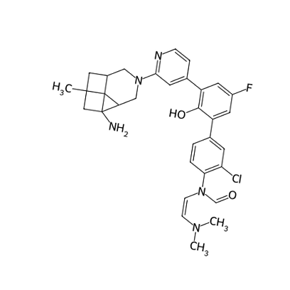 CN(C)/C=C\N(C=O)c1ccc(-c2cc(F)cc(-c3ccnc(N4CC5CC6(C)CC7(N)C(C4)C567)c3)c2O)cc1Cl